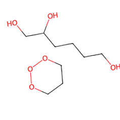 C1COOOC1.OCCCCC(O)CO